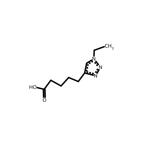 CCn1cc(CCCCC(=O)O)nn1